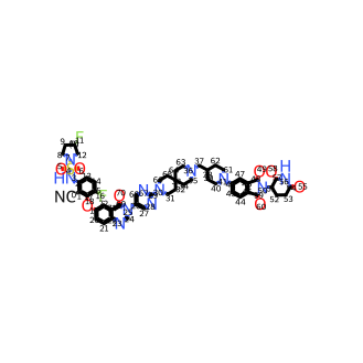 N#Cc1c(NS(=O)(=O)N2CC[C@@H](F)C2)ccc(F)c1Oc1ccc2ncn(-c3cnc(N4CCC5(CCN(CC6CCN(c7ccc8c(c7)C(=O)N(C7CCC(=O)NC7=O)C8=O)CC6)CC5)CC4)nc3)c(=O)c2c1